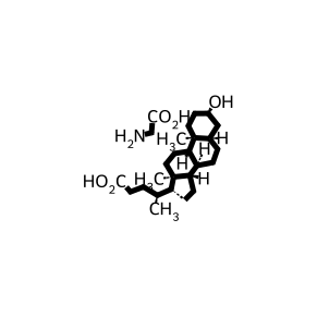 C[C@H](CCC(=O)O)[C@H]1CC[C@H]2[C@@H]3CC[C@@H]4C[C@H](O)CC[C@]4(C)[C@H]3CC[C@]12C.NCC(=O)O